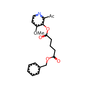 COc1ccnc(C(C)=O)c1OC(=O)CCCC(=O)OCc1ccccc1